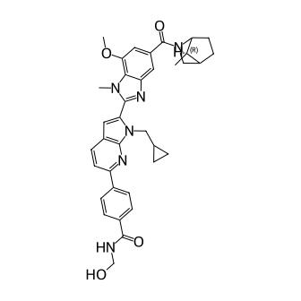 COc1cc(C(=O)N2CC3CCC2[C@@H]3C)cc2nc(-c3cc4ccc(-c5ccc(C(=O)NCO)cc5)nc4n3CC3CC3)n(C)c12